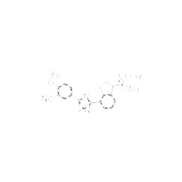 CC(C)Oc1ccc(-c2nc(-c3cccc4c3CCC4N(C(=O)O)C(C)(C)C)ns2)cc1C#N